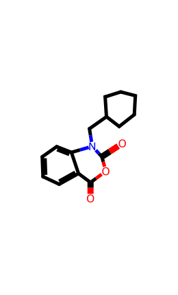 O=c1oc(=O)n(CC2CCCCC2)c2ccccc12